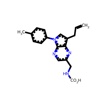 C=CCc1cn(-c2ccc(C)cc2)c2ncc(CNC(=O)O)nc12